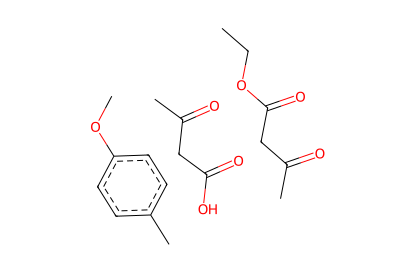 CC(=O)CC(=O)O.CCOC(=O)CC(C)=O.COc1ccc(C)cc1